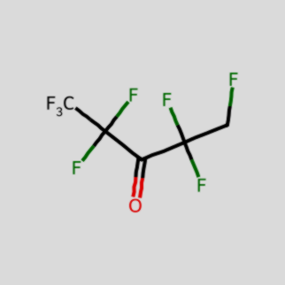 O=C(C(F)(F)CF)C(F)(F)C(F)(F)F